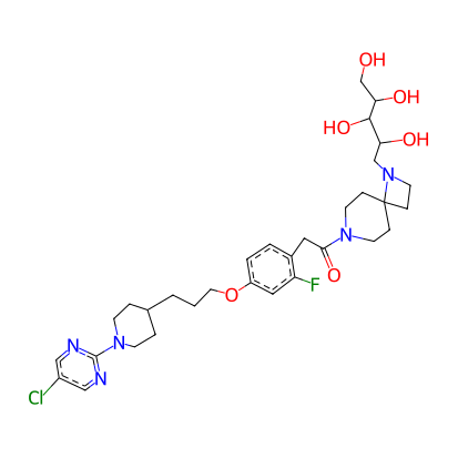 O=C(Cc1ccc(OCCCC2CCN(c3ncc(Cl)cn3)CC2)cc1F)N1CCC2(CC1)CCN2CC(O)C(O)C(O)CO